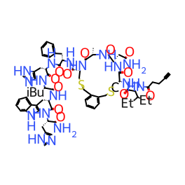 C#CCCC(=O)N[C@H](C(=O)N[C@@H]1CSCc2ccccc2CSC[C@H](C(=O)N[C@@H](Cc2ccccc2)C(=O)N[C@@H](Cc2cnc[nH]2)C(=O)NC(C(=O)N[C@@H](Cc2c[nH]c3ccccc23)C(=O)N[C@@H](Cc2cnc[nH]2)C(N)=O)[C@@H](C)CC)NC(=O)[C@H](C)NC(=O)[C@H](CC(N)=O)NC1=O)C(CC)CC